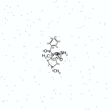 C[C@@H]1CCC(C)(N(C)C(=O)c2ccccc2)[C@@H](S(N)(=O)=O)C1